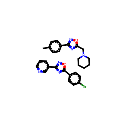 Brc1ccc(-c2nc(-c3cccnc3)no2)cc1.Cc1ccc(-c2noc(CN3CCCCC3)n2)cc1